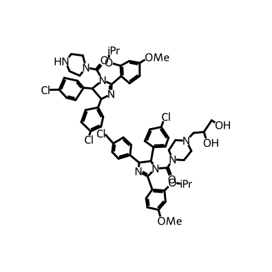 COc1ccc(C2=NC(c3ccc(Cl)cc3)C(c3ccc(Cl)cc3)N2C(=O)N2CCN(CC(O)CO)CC2)c(OC(C)C)c1.COc1ccc(C2=NC(c3ccc(Cl)cc3)C(c3ccc(Cl)cc3)N2C(=O)N2CCNCC2)c(OC(C)C)c1